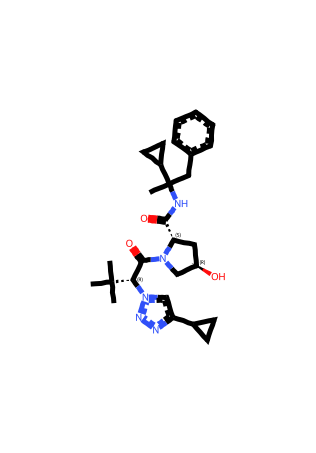 CC(Cc1ccccc1)(NC(=O)[C@@H]1C[C@@H](O)CN1C(=O)[C@H](n1cc(C2CC2)nn1)C(C)(C)C)C1CC1